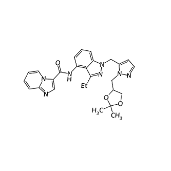 CCc1nn(Cc2ccnn2CC2COC(C)(C)O2)c2cccc(NC(=O)c3cnc4ccccn34)c12